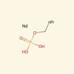 CCCCOP(=O)(O)O.[Nd]